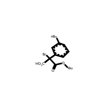 CCCCc1cccc(C(Br)(C(=O)O)C(=O)OC(C)CC)c1